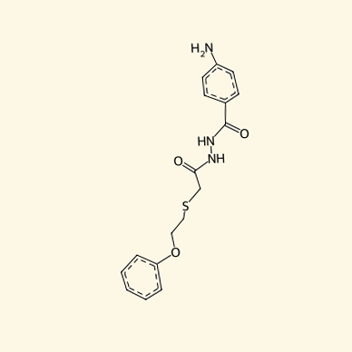 Nc1ccc(C(=O)NNC(=O)CSCCOc2ccccc2)cc1